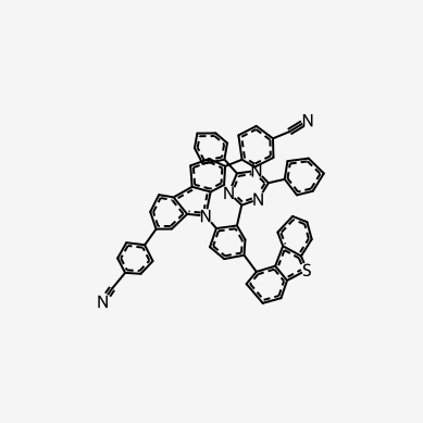 N#Cc1ccc(-c2ccc3c4ccc(-c5ccc(C#N)cc5)cc4n(-c4ccc(-c5cccc6sc7ccccc7c56)cc4-c4nc(-c5ccccc5)nc(-c5ccccc5)n4)c3c2)cc1